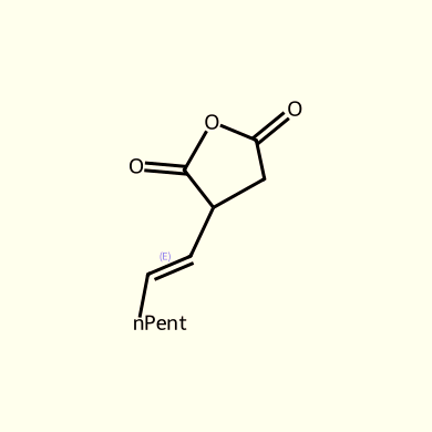 CCCCC/C=C/C1CC(=O)OC1=O